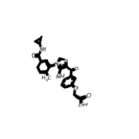 CC1=CCC(C(=O)NC2CC2)C=C1n1cnc(C(=O)c2cccc(OCC(=O)O)c2)c1N